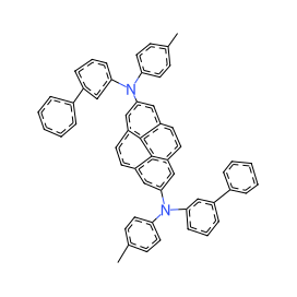 Cc1ccc(N(c2cccc(-c3ccccc3)c2)c2cc3ccc4cc(N(c5ccc(C)cc5)c5cccc(-c6ccccc6)c5)cc5ccc(c2)c3c45)cc1